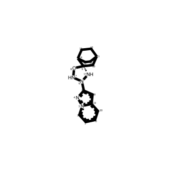 c1ccn2nc(N3NO[C@@]4(CC5CCC4CC5)N3)cc2c1